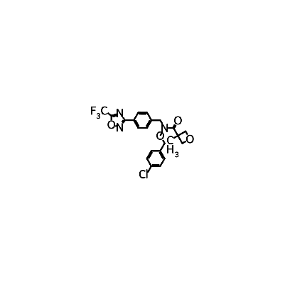 CC1(C(=O)N(Cc2ccc(-c3noc(C(F)(F)F)n3)cc2)OCc2ccc(Cl)cc2)COC1